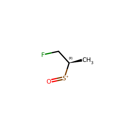 C[C@H](CF)[S+]=O